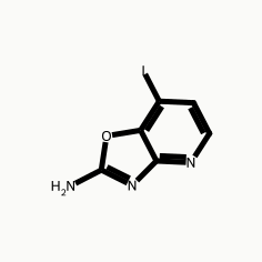 Nc1nc2nccc(I)c2o1